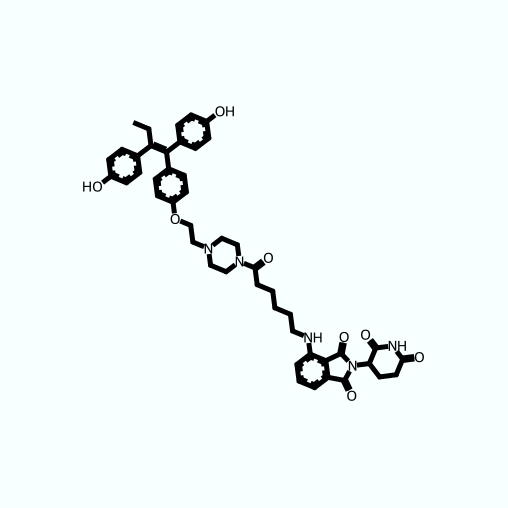 CCC(=C(c1ccc(O)cc1)c1ccc(OCCN2CCN(C(=O)CCCCCNc3cccc4c3C(=O)N(C3CCC(=O)NC3=O)C4=O)CC2)cc1)c1ccc(O)cc1